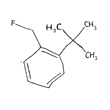 CC(C)(C)c1ccc[c]c1CF